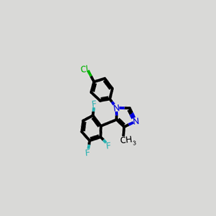 Cc1ncn(-c2ccc(Cl)cc2)c1-c1c(F)ccc(F)c1F